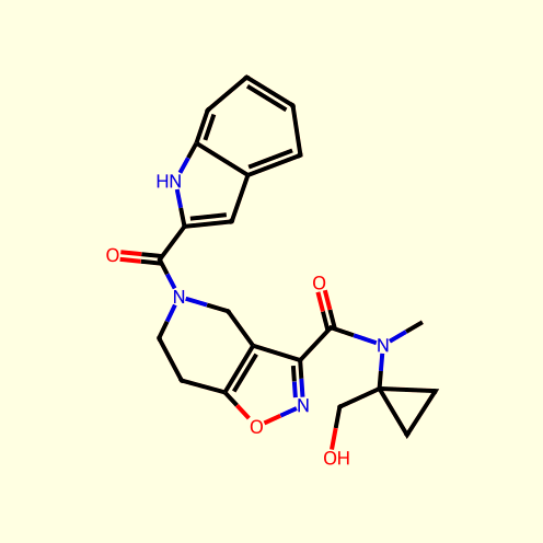 CN(C(=O)c1noc2c1CN(C(=O)c1cc3ccccc3[nH]1)CC2)C1(CO)CC1